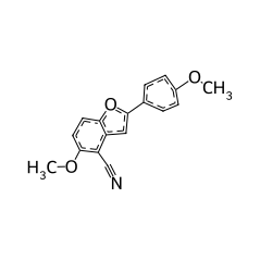 COc1ccc(-c2cc3c(C#N)c(OC)ccc3o2)cc1